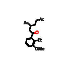 CCc1c(OC)cccc1C(=O)CC(CCC(C)=O)C(C)=O